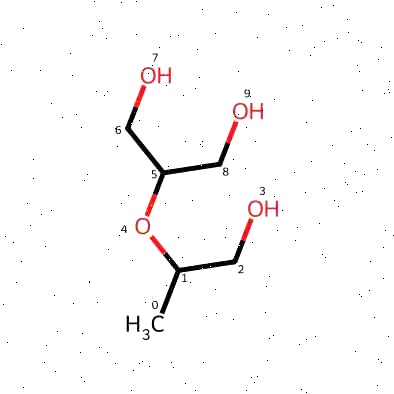 CC(CO)OC(CO)CO